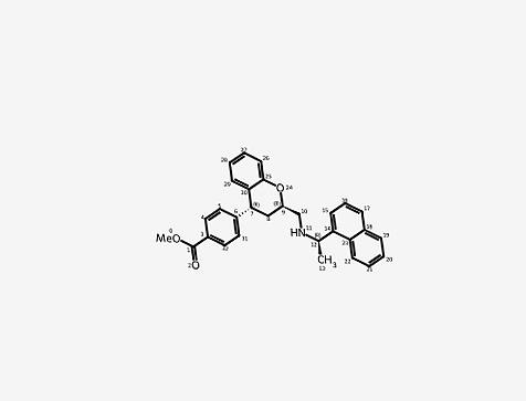 COC(=O)c1ccc([C@H]2C[C@H](CN[C@H](C)c3cccc4ccccc34)Oc3ccccc32)cc1